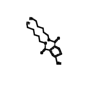 CC(C)CCCCCOC(=O)c1ccc(C(C)(C)C)cc1C(=O)OCCCCCC(C)C